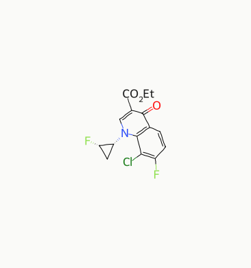 CCOC(=O)c1cn([C@@H]2C[C@@H]2F)c2c(Cl)c(F)ccc2c1=O